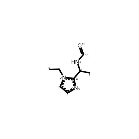 CCn1c[c]nc1C(C)NC=O